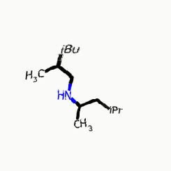 CCC(C)C(C)CNC(C)CC(C)C